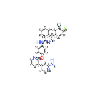 CNc1cc(-c2cccnc2Oc2ccc(Nc3nnc(-c4ccc(F)c(Cl)c4)c4ccccc34)cc2)ccn1